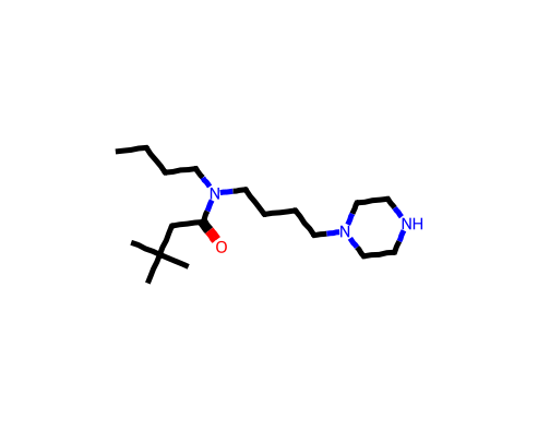 CCCCN(CCCCN1CCNCC1)C(=O)CC(C)(C)C